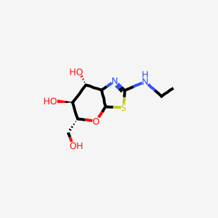 CCNC1=NC2C(O[C@H](CO)[C@@H](O)[C@@H]2O)S1